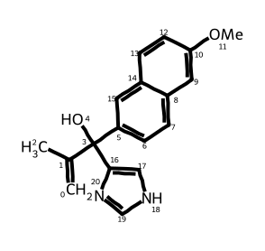 C=C(C)C(O)(c1ccc2cc(OC)ccc2c1)c1c[nH]cn1